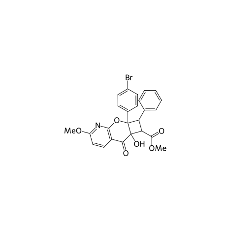 COC(=O)C1C(c2ccccc2)C2(c3ccc(Br)cc3)Oc3nc(OC)ccc3C(=O)C12O